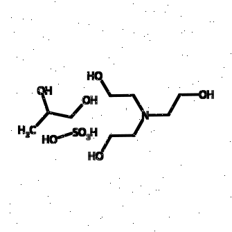 CC(O)CO.O=S(=O)(O)O.OCCN(CCO)CCO